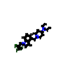 CCN(CC)C1CCN(Cc2cccc3c2ccn3CC(F)(F)F)CC1